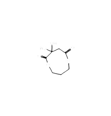 O=C1CC(O)(O)C(=O)OCCCO1